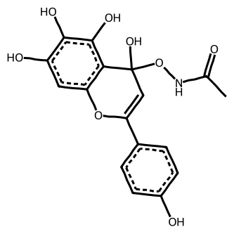 CC(=O)NOC1(O)C=C(c2ccc(O)cc2)Oc2cc(O)c(O)c(O)c21